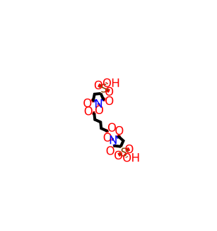 O=C(CCCC(=O)ON1C(=O)CC(S(=O)(=O)O)C1=O)ON1C(=O)CC(S(=O)(=O)O)C1=O